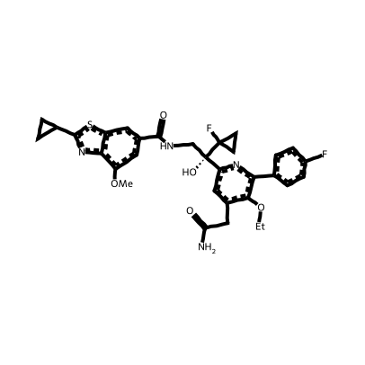 CCOc1c(CC(N)=O)cc([C@@](O)(CNC(=O)c2cc(OC)c3nc(C4CC4)sc3c2)C2(F)CC2)nc1-c1ccc(F)cc1